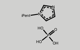 CCCC(C)n1ccnc1.O=P(O)(O)O